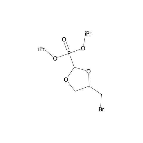 CC(C)OP(=O)(OC(C)C)C1OCC(CBr)O1